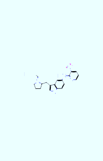 CCN1CCCC1Cc1c[nH]c2ccc(Nc3ncccc3[N+](=O)[O-])cc12